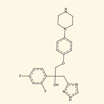 OC(COc1ccc(N2CCNCC2)cc1)(Cc1nc[nH]n1)c1ccc(F)cc1F